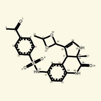 CC(=O)c1ccc(S(=O)(=O)Nc2ccc3c(c2)C2C(C4OC(C)O4)=CN[C@]2(C)C(=O)N3)cc1